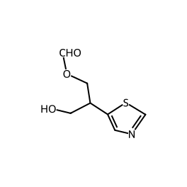 O=COCC(CO)c1cncs1